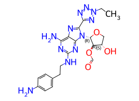 CCn1nnc(-c2nc3c(N)nc(NCCc4ccc(N)cc4)nc3n2[C@@H]2OC[C@H](O)[C@H]2OC=O)n1